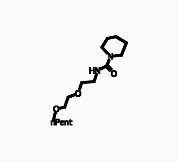 CCCCCOCCOCCNC(=O)N1CCCCC1